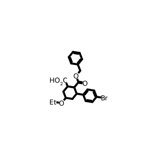 CCOC1CC(C(=O)O)C(C(=O)OCc2ccccc2)C(c2ccc(Br)cc2)C1